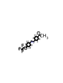 CC(=O)c1ccc(/C=C/c2ccc(OC(F)=C(F)F)cc2)cc1